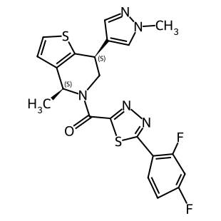 C[C@H]1c2ccsc2[C@@H](c2cnn(C)c2)CN1C(=O)c1nnc(-c2ccc(F)cc2F)s1